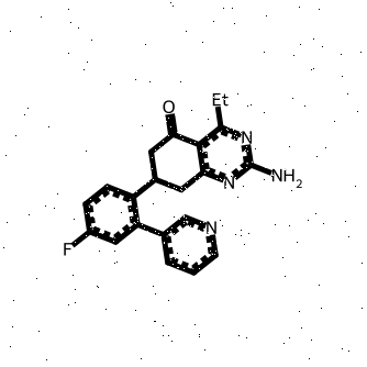 CCc1nc(N)nc2c1C(=O)CC(c1ccc(F)cc1-c1cccnc1)C2